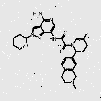 CC1CCC(c2ccc3c(c2)CN(C)CC3)N(C(=O)C(=O)Nc2cnc(N)c3cn(C4CCCCO4)nc23)C1